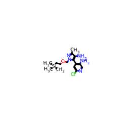 Cc1nn(COCC[Si](C)(C)C)c(-c2cc(Cl)ncc2N)c1N